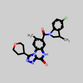 Cc1cc2c(cc1C(=O)N1CC(C)c3cc(Cl)ccc31)[nH]c(=O)c1nnc(C3CCOCC3)n12